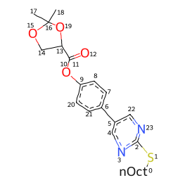 CCCCCCCCSc1ncc(-c2ccc(OC(=O)C3COC(C)(C)O3)cc2)cn1